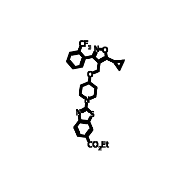 CCOC(=O)c1ccc2nc(N3CCC(OCc4c(-c5ccccc5C(F)(F)F)noc4C4CC4)CC3)sc2c1